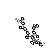 CC1(C)c2ccccc2-c2ccc(-n3c4ccccc4c4cc(-c5ccc6c(c5)c5ccccc5n6-c5cc(-n6c7ccccc7c7cc8c(cc76)C(C)(C)c6ccccc6-8)nc(-n6c7ccccc7c7cc(-c8ccc9oc%10ccccc%10c9c8)ccc76)n5)ccc43)cc21